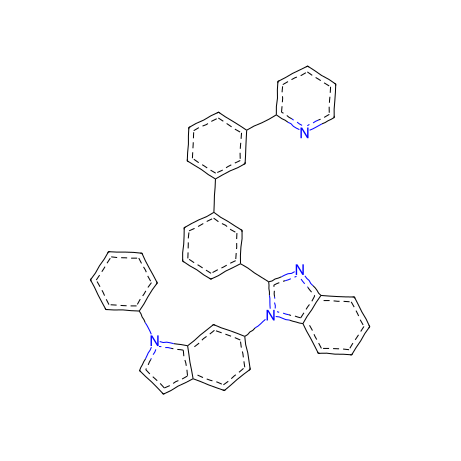 c1ccc(-n2ccc3ccc(-n4c(-c5cccc(-c6cccc(-c7ccccn7)c6)c5)nc5ccccc54)cc32)cc1